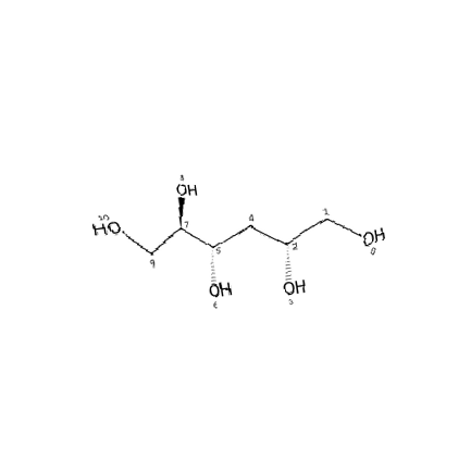 OC[C@H](O)C[C@H](O)[C@H](O)CO